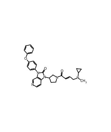 CN(C/C=C/C(=O)N1CCC(n2c(=O)n(-c3ccc(Oc4ccccc4)cc3)c3cnccc32)C1)C1CC1